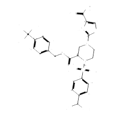 CC(C)c1ccc(S(=O)(=O)N2CCN(c3nc(C(=O)O)cs3)CC2C(=O)NCc2ccc(C(F)(F)F)cc2)cc1